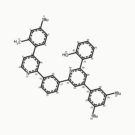 Cc1cc(C(C)(C)C)ccc1-c1ccnc(-c2cccc(-c3cc(-c4cc(C(C)(C)C)cc(C(C)(C)C)c4)cc(-c4ccccc4O)n3)c2)c1